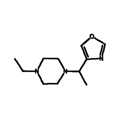 CCN1CCN(C(C)c2cocn2)CC1